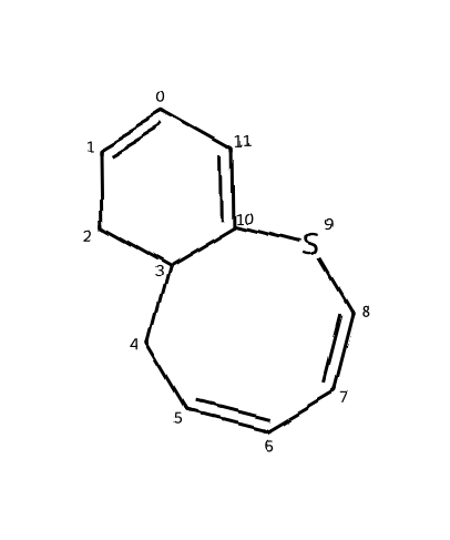 C1=CCC2C/C=C\C=C/SC2=C1